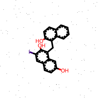 Oc1ccc2cc(I)c(O)c(Cc3c(O)ccc4ccccc34)c2c1